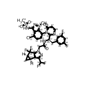 Cn1nc(NS(C)(=O)=O)c2c(Cl)ccc(-n3c([C@@H](Cc4cc(F)cc(F)c4)NC(=O)Cn4nc(C(F)F)c5c4C(F)(F)[C@@H]4C[C@H]54)nccc3=O)c21